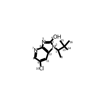 CC(n1c(O)nc2ncc(Cl)cc21)C(C)(C)C